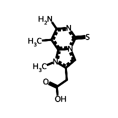 Cc1c(N)nc(=S)n2cc(CC(=O)O)n(C)c12